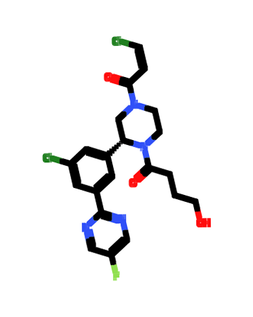 O=C(/C=C\Cl)N1CCN(C(=O)CCCO)[C@H](c2cc(Cl)cc(-c3ncc(F)cn3)c2)C1